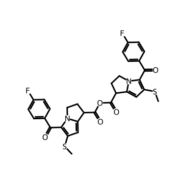 CSc1cc2n(c1C(=O)c1ccc(F)cc1)CCC2C(=O)OC(=O)C1CCn2c1cc(SC)c2C(=O)c1ccc(F)cc1